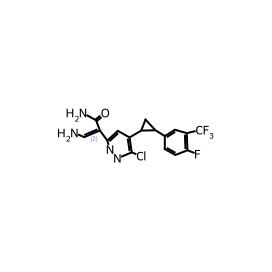 N/C=C(\C(N)=O)c1cc(C2CC2c2ccc(F)c(C(F)(F)F)c2)c(Cl)nn1